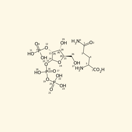 NC(=O)CCC(N)C(=O)O.O=P(O)(O)O[C@H]1C(OP(=O)(O)OP(=O)(O)O)O[C@H](CO)[C@H]1O